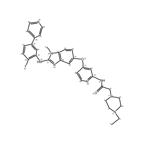 CCN1CCN(CC(=O)Nc2cc(Oc3ccc4c(c3)nc(Nc3cc(-c5ccncc5)ccc3F)n4C)ccn2)CC1